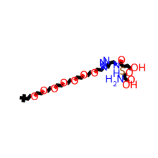 CC(C)(C)CCOCCOCCOCCOCCOCCOCCOCCn1cc(CNC(=O)C(CC(=O)O)SCC(N)C(=O)O)nn1